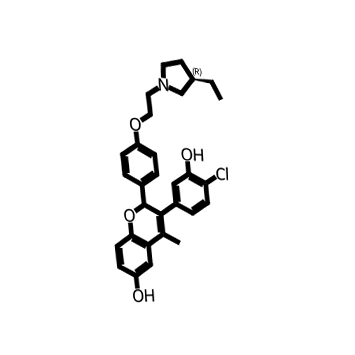 CC[C@@H]1CCN(CCOc2ccc(C3Oc4ccc(O)cc4C(C)=C3c3ccc(Cl)c(O)c3)cc2)C1